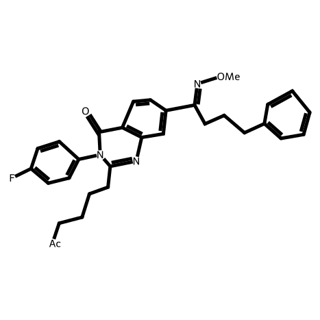 CO/N=C(\CCCc1ccccc1)c1ccc2c(=O)n(-c3ccc(F)cc3)c(CCCCC(C)=O)nc2c1